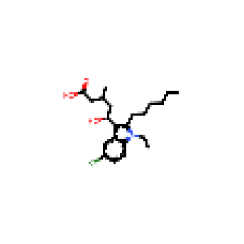 CCCCCCc1c([C@@H](O)CC(C)CC(=O)O)c2cc(Cl)ccc2n1CC